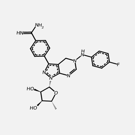 C[C@H]1O[C@@H](n2nc(-c3ccc(C(=N)N)cc3)c3c2N=CN(Nc2ccc(F)cc2)C3)[C@H](O)[C@@H]1O